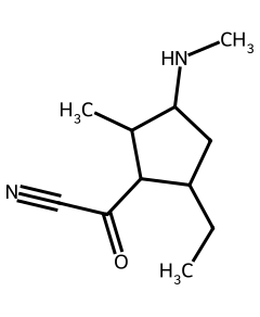 CCC1CC(NC)C(C)C1C(=O)C#N